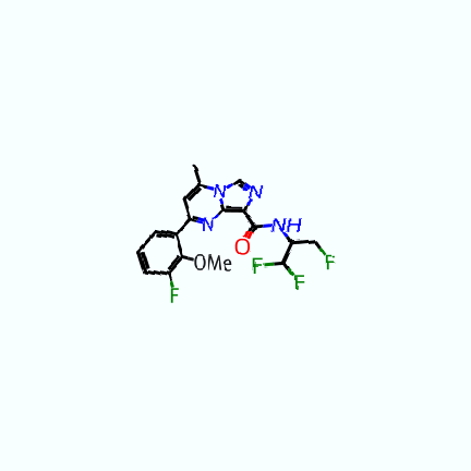 COc1c(F)cccc1-c1cc(C)n2cnc(C(=O)NC(CF)C(F)F)c2n1